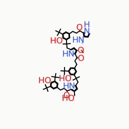 CNc1cc[nH]c1C(=O)CCc1cc(C(C)(C)C)c(O)c(C(C)(C)Cc2cc(OC)c(C(=O)CCc3cc(C(C)(C)C)c(O)c(C(C)(C)Cc4cc(CO)c(C(=O)CCc5cc(C(C)(C)C)c(O)c(C(C)(C)C)c5)[nH]4)c3)[nH]2)c1